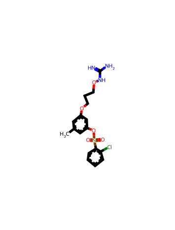 Cc1cc(OCCCONC(=N)N)cc(OS(=O)(=O)c2ccccc2Cl)c1